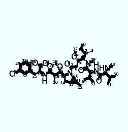 CC[C@H](C)[C@@H]([C@@H](CC(=O)N1C2C(C)C2C[C@H]1[C@H](OC)[C@@H](C)C(=O)N[C@@H](Cc1cccc(Cl)c1)C(=O)O)OC)N(C)C(=O)[C@@H](NC(=O)[C@@H](NC)C(C)C)C(C)C